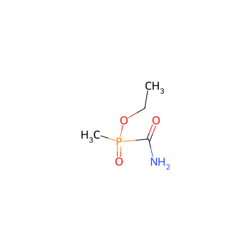 CCOP(C)(=O)C(N)=O